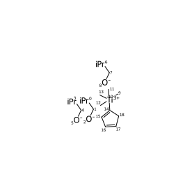 CC(C)C[O-].CC(C)C[O-].CC(C)C[O-].[CH3][Ti+3]([CH3])([CH3])([CH3])[C]1=CC=CC1